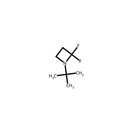 CC(C)(C)N1CCC1(F)F